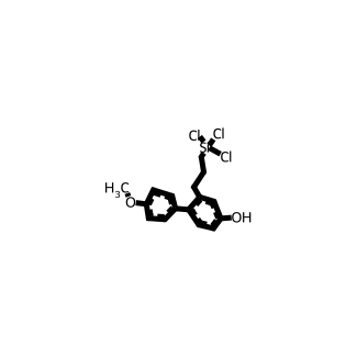 COc1ccc(-c2ccc(O)cc2CCC[Si](Cl)(Cl)Cl)cc1